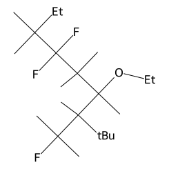 CCOC(C)(C(C)(C)C(F)(F)C(C)(C)CC)C(C)(C(C)(C)C)C(C)(C)F